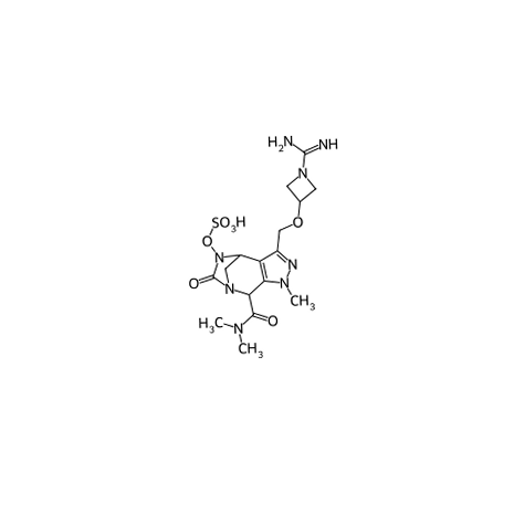 CN(C)C(=O)C1c2c(c(COC3CN(C(=N)N)C3)nn2C)C2CN1C(=O)N2OS(=O)(=O)O